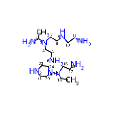 CC(N)N(CCN)CCNCCN.CCN(CCN)N1CCNCC1